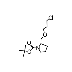 CC(C)(C)OC(=O)N1CCC[C@H]1COCCCCl